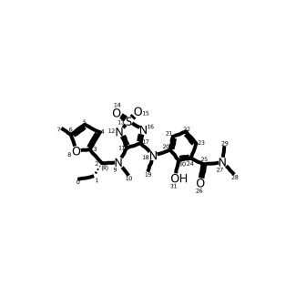 CC[C@H](c1ccc(C)o1)N(C)C1=NS(=O)(=O)N=C1N(C)c1cccc(C(=O)N(C)C)c1O